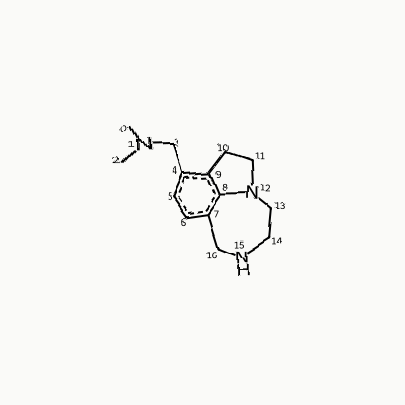 CN(C)Cc1ccc2c3c1CCN3CCNC2